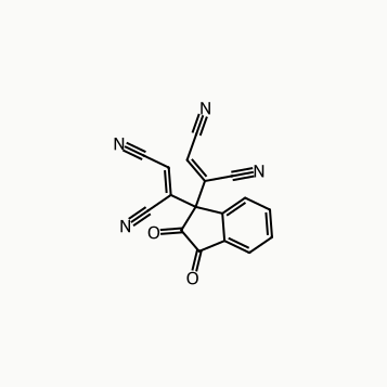 N#CC=C(C#N)C1(C(C#N)=CC#N)C(=O)C(=O)c2ccccc21